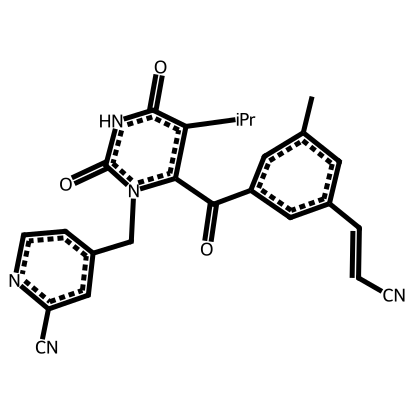 Cc1cc(/C=C/C#N)cc(C(=O)c2c(C(C)C)c(=O)[nH]c(=O)n2Cc2ccnc(C#N)c2)c1